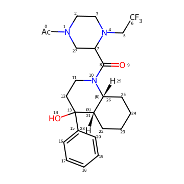 CC(=O)N1CCN(CC(F)(F)F)C(C(=O)N2CCC(O)(c3ccccc3)[C@H]3CCCC[C@H]32)C1